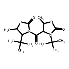 CC1OC(=O)N(C(C)(C)C)C1C(=O)N1C(=O)OC(C)C1C(C)(C)C